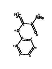 C=C(Oc1ccccn1)C(=O)OC